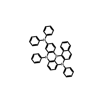 c1ccc(N(c2ccccc2)c2ccc3c(c2)N(c2ccccc2)c2cccc4c2B3c2c(ccc3ccccc23)N4c2ccccc2)cc1